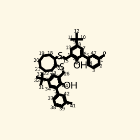 Cc1cccc(-c2cc(C(C)(C)C)cc(CSC3CCCCCC[C@@H]3SCc3cc(C(C)(C)C)cc(-c4cccc(C)c4)c3O)c2O)c1